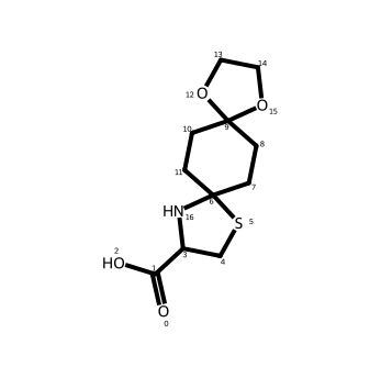 O=C(O)C1CSC2(CCC3(CC2)OCCO3)N1